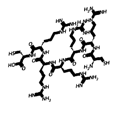 N=C(N)NCCC[C@H](NC(=O)[C@H](CCCNC(=N)N)NC(=O)[C@H](CCCNC(=N)N)NC(=O)[C@H](CCCNC(=N)N)NC(=O)[C@H](CCCNC(=N)N)NC(=O)[C@@H](N)CS)C(=O)N[C@@H](CS)C(=O)O